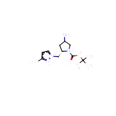 Cc1ccn(C[C@H]2CC(N)CN2C(=O)OC(C)(C)C)n1